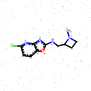 CN1CCC1CNc1nc2nc(Cl)ccc2o1